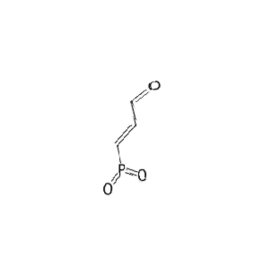 O=CC=CP(=O)=O